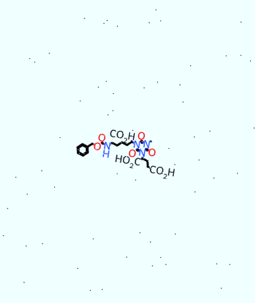 Cn1c(=O)n(C(CCC(=O)O)C(=O)O)c(=O)n([C@@H](CCCCNC(=O)OCc2ccccc2)C(=O)O)c1=O